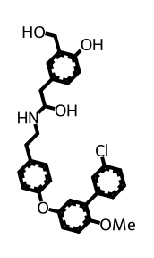 COc1ccc(Oc2ccc(CCNC(O)Cc3ccc(O)c(CO)c3)cc2)cc1-c1cccc(Cl)c1